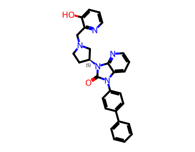 O=c1n(-c2ccc(-c3ccccc3)cc2)c2cccnc2n1[C@H]1CCN(Cc2ncccc2O)C1